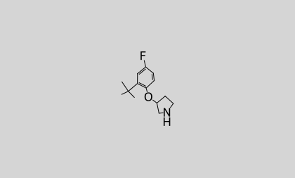 CC(C)(C)c1cc(F)ccc1OC1CCNC1